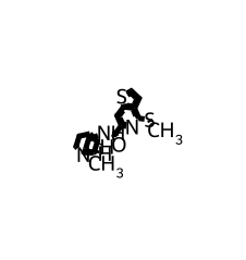 CSc1nc(C(=O)N[C@@H]2C3CCN(CC3)[C@H]2C)cc2sccc12